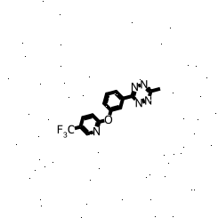 Cc1nnc(-c2cccc(Oc3ccc(C(F)(F)F)cn3)c2)nn1